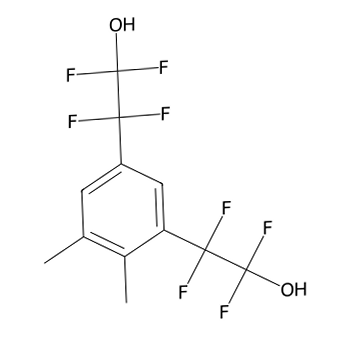 Cc1cc(C(F)(F)C(O)(F)F)cc(C(F)(F)C(O)(F)F)c1C